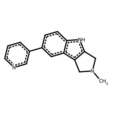 CN1Cc2[nH]c3ccc(-c4cccnc4)cc3c2C1